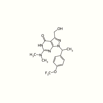 CC(c1ccc(OC(F)(F)F)cc1)n1nc(CO)c2c(=O)[nH]c(N(C)C)nc21